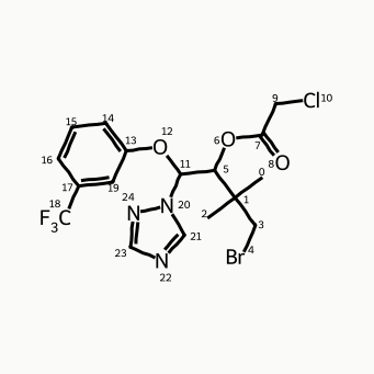 CC(C)(CBr)C(OC(=O)CCl)C(Oc1cccc(C(F)(F)F)c1)n1cncn1